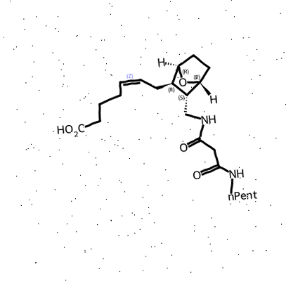 CCCCCNC(=O)CC(=O)NC[C@@H]1[C@@H](C/C=C\CCCC(=O)O)[C@H]2CC[C@H]1O2